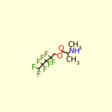 CNC(C)C(=O)OCC(F)(F)C(F)(F)C(F)(F)C(F)F